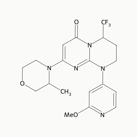 COc1cc(N2CCC(C(F)(F)F)n3c2nc(N2CCOCC2C)cc3=O)ccn1